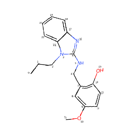 CCCn1c(NCc2cc(OC)ccc2O)nc2ccccc21